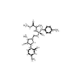 COC(=O)C(C)NP(=O)(OC[C@H]1S[C@@H](n2ccc(N)nc2=O)[C@@H](F)[C@@H]1O)Oc1ccc(C)cc1